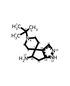 CC(C)(C)N1CCC2(CC1)c1cn[nH]c1CC2N